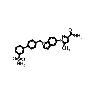 Cc1cc(C(N)=O)nn1-c1ccc2c(ccn2Cc2ccc(-c3cccc(S(N)(=O)=O)c3)cc2)c1